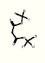 O=C(CC(=O)OC(Cl)(Cl)Cl)OC(Cl)(Cl)Cl